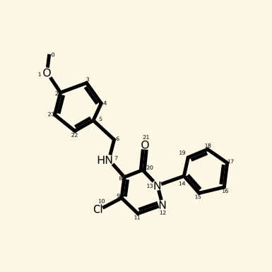 COc1ccc(CNc2c(Cl)cnn(-c3ccccc3)c2=O)cc1